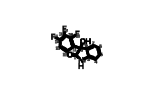 O=C1Nc2ccccc2C1(O)c1ccc(F)c(F)c1F